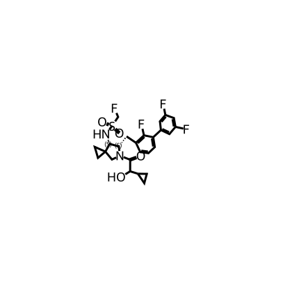 O=C(C(O)C1CC1)N1CC2(CC2)[C@H](NS(=O)(=O)CF)[C@@H]1Cc1cccc(-c2cc(F)cc(F)c2)c1F